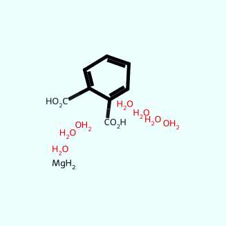 O.O.O.O.O.O.O.O=C(O)c1ccccc1C(=O)O.[MgH2]